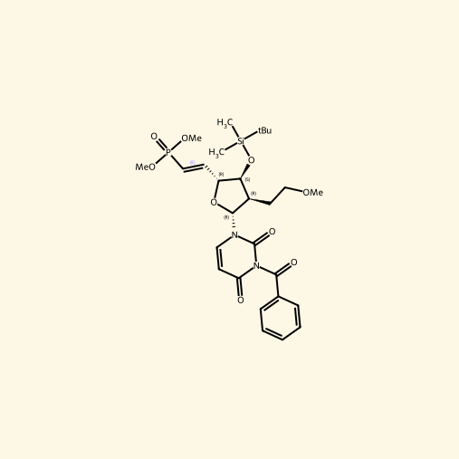 COCC[C@@H]1[C@H](O[Si](C)(C)C(C)(C)C)[C@@H](/C=C/P(=O)(OC)OC)O[C@H]1n1ccc(=O)n(C(=O)c2ccccc2)c1=O